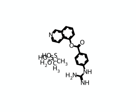 CS(=O)(=O)O.CS(=O)(=O)O.N=C(N)Nc1ccc(C(=O)Oc2cccc3cnccc23)cc1.O